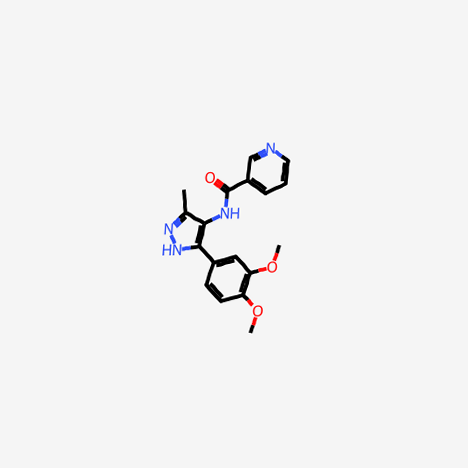 COc1ccc(-c2[nH]nc(C)c2NC(=O)c2cccnc2)cc1OC